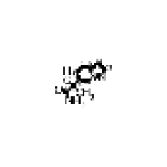 CC(C)(C(N)=O)c1ccc2ccnn2c1